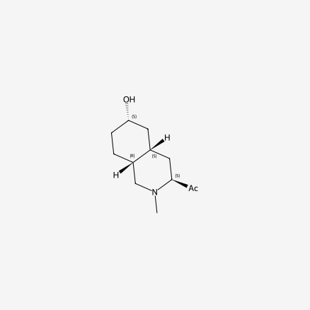 CC(=O)[C@@H]1C[C@H]2C[C@@H](O)CC[C@H]2CN1C